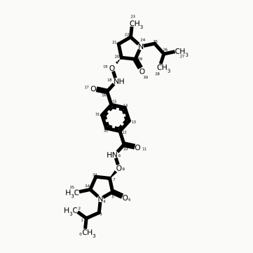 CC(C)CN1C(=O)[C@H](ONC(=O)c2ccc(C(=O)NO[C@@H]3CC(C)N(CC(C)C)C3=O)cc2)CC1C